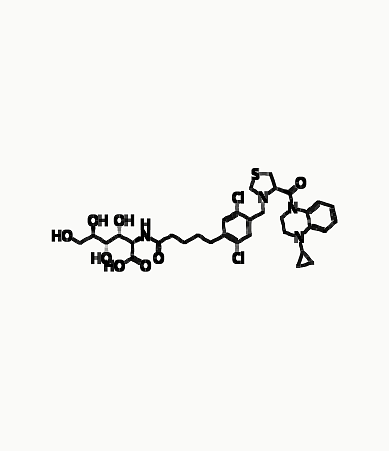 O=C(CCCCc1cc(Cl)c(CN2CSC[C@H]2C(=O)N2CCN(C3CC3)c3ccccc32)cc1Cl)N[C@@H](C(=O)O)[C@@H](O)[C@H](O)[C@H](O)CO